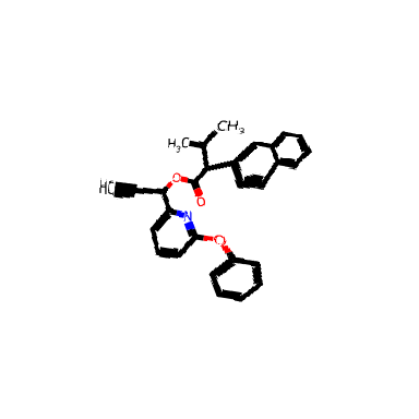 C#CC(OC(=O)C(c1ccc2ccccc2c1)C(C)C)c1cccc(Oc2ccccc2)n1